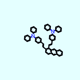 C(=Cc1ccc2cc3ccccc3cc2c1C=Cc1ccc(N(c2ccccc2)c2ccccc2)cc1)c1ccc(N(c2ccccc2)c2ccccc2)cc1